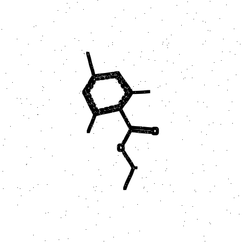 C[CH]OC(=O)c1c(C)cc(C)cc1C